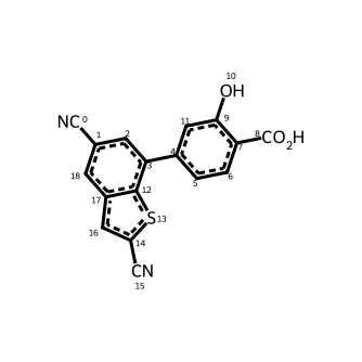 N#Cc1cc(-c2ccc(C(=O)O)c(O)c2)c2sc(C#N)cc2c1